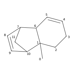 CC12CCC=CC1C1C=CC2C1